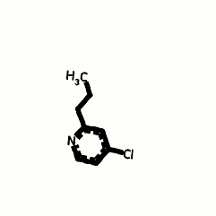 CCCc1cc(Cl)ccn1